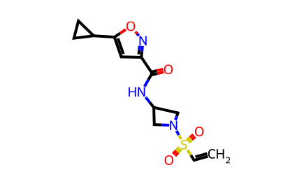 C=CS(=O)(=O)N1CC(NC(=O)c2cc(C3CC3)on2)C1